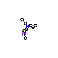 CC1(C)c2ccccc2-c2ccc(N(c3ccc(-c4ccccc4)cc3)c3ccc4c(ccc5nc(-c6ccccc6)oc54)c3)cc21